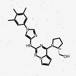 Cc1cc(-n2cnc(Nc3nc(N4CCC[C@@H]4CO)c4cccn4n3)c2)cc(C)c1C